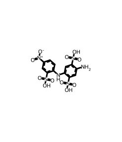 Nc1cc(S(=O)(=O)O)c(Nc2ccc([N+](=O)[O-])cc2S(=O)(=O)O)cc1S(=O)(=O)O